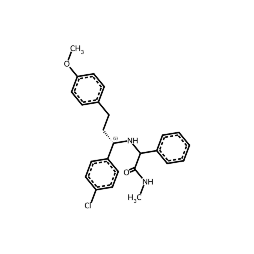 CNC(=O)C(N[C@@H](CCc1ccc(OC)cc1)c1ccc(Cl)cc1)c1ccccc1